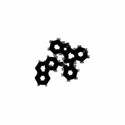 c1ccc2c(c1)ccc1ccc(-n3c4ccccc4c4c5ccncc5c5sc6ccccc6c5c43)cc12